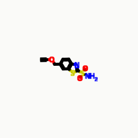 C#COCc1ccc2nc(S(N)(=O)=O)sc2c1